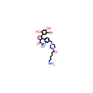 CCNC(=O)c1noc(-c2cc(C(C)C)c(O)cc2O)c1-c1ccc(CN2CCN(C(=O)CCCCCN)CC2)cc1